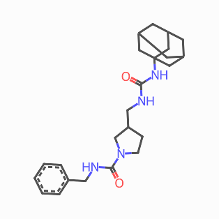 O=C(NCC1CCN(C(=O)NCc2ccccc2)C1)NC12CC3CC(CC(C3)C1)C2